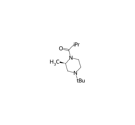 CC(C)C(=O)N1CCN(C(C)(C)C)C[C@H]1C